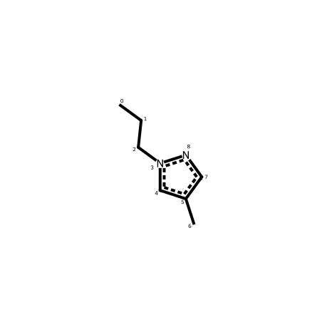 CCCn1cc(C)[c]n1